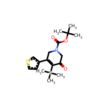 CC(C)(C)OC(=O)N1CC(=O)C([Si](C)(C)C)=C(c2ccsc2)C1